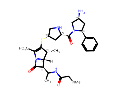 CNCC(=O)NC(C)[C@H]1C(=O)N2C(C(=O)O)=C(S[C@@H]3CN[C@H](C(=O)N4C[C@@H](N)C[C@H]4c4ccccc4)C3)[C@H](C)[C@H]12